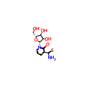 NC(=S)c1cccn([C@@H]2O[C@H](CO)C(O)C2O)c1=O